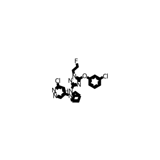 FCCn1nc(NC2C3=CC2CN3c2cnnc(Cl)c2)nc1Oc1cccc(Cl)c1